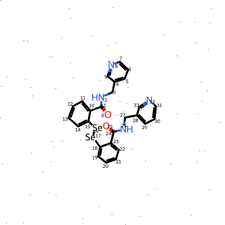 O=C(NCc1cccnc1)c1ccccc1[Se][Se]c1ccccc1C(=O)NCc1cccnc1